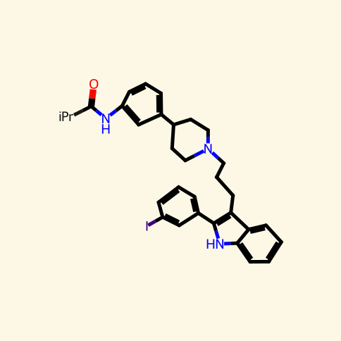 CC(C)C(=O)Nc1cccc(C2CCN(CCCc3c(-c4cccc(I)c4)[nH]c4ccccc34)CC2)c1